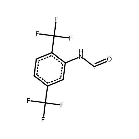 O=[C]Nc1cc(C(F)(F)F)ccc1C(F)(F)F